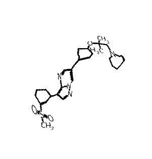 CC(C)(CN1CCCCC1)OC1CCC(c2cnc3c(C4CCCC(S(C)(=O)=O)C4)cnn3c2)CC1